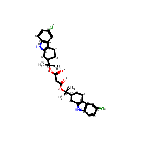 CC(C)(OC(=O)CC(=O)OC(C)(C)C1CCc2c([nH]c3ccc(Cl)cc23)C1)C1CCc2c([nH]c3ccc(Cl)cc23)C1